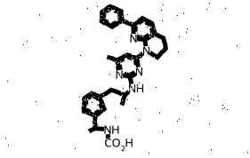 Cc1cc(N2CCCc3ccc(-c4ccccc4)nc32)nc(NC(C)Cc2cccc(C(C)NC(=O)O)c2)n1